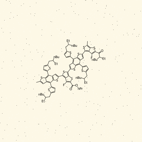 CCCCC(CC)Cc1ccc(-c2c3cc(-c4sc(-c5cc6c(-c7ccc(CC(CC)CCCC)s7)c7sc(-c8sc(C)c9sc(C(=O)C(CC)CCCC)c(F)c89)cc7c(-c7ccc(CC(CC)CCCC)s7)c6s5)c5sc(C(=O)OCCC)c(F)c45)sc3c(-c3ccc(CC(CC)CCCC)s3)c3cc(C)sc23)s1